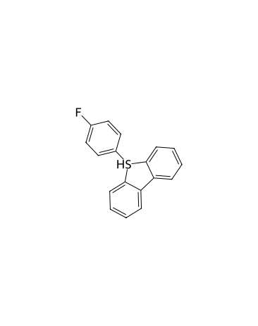 Fc1ccc([SH]2c3ccccc3-c3ccccc32)cc1